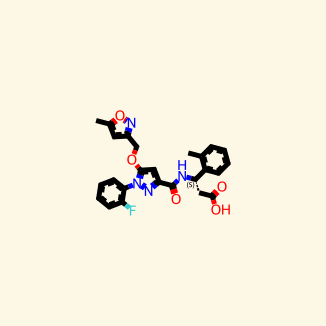 Cc1cc(COc2cc(C(=O)N[C@@H](CC(=O)O)c3ccccc3C)nn2-c2ccccc2F)no1